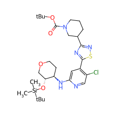 CC(C)(C)OC(=O)N1CCCC(c2nsc(-c3cc(N[C@@H]4CCOC[C@H]4O[Si](C)(C)C(C)(C)C)ncc3Cl)n2)C1